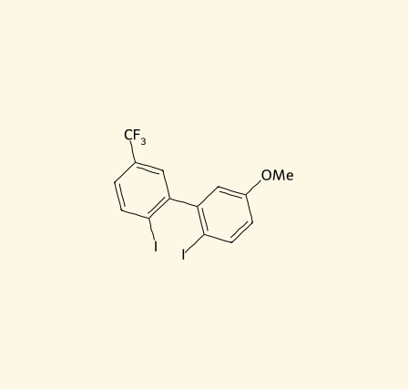 COc1ccc(I)c(-c2cc(C(F)(F)F)ccc2I)c1